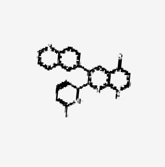 CC1=CC#CC(c2nc3[nH]ccc(=O)c3cc2-c2ccc3ncccc3c2)N1